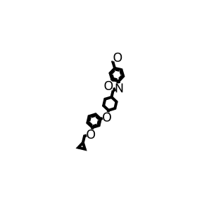 O=Cc1ccc2nc(C3CCC(Oc4cccc(OCC5CC5)c4)CC3)oc2c1